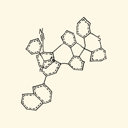 N#Cc1ccccc1-c1cccc2c1-c1c(-c3cc(-c4ccc5ccccc5c4)nc(-c4ccccc4)n3)cccc1C21c2ccccc2Sc2ccccc21